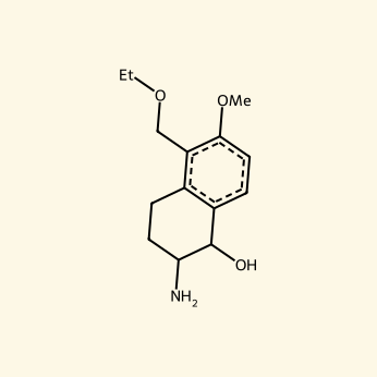 CCOCc1c(OC)ccc2c1CCC(N)C2O